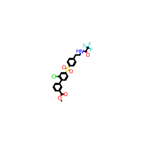 COC(=O)c1cccc(-c2ccc(S(=O)(=O)c3ccc(CCNC(=O)C(F)(F)F)cc3)cc2Cl)c1